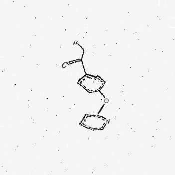 CC(=O)CC(=O)c1ccc(Oc2ccccn2)cc1